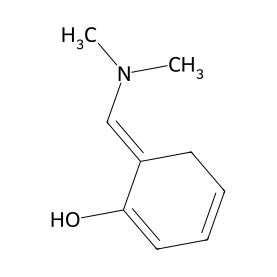 CN(C)C=C1CC=CC=C1O